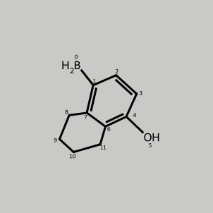 Bc1ccc(O)c2c1CCCC2